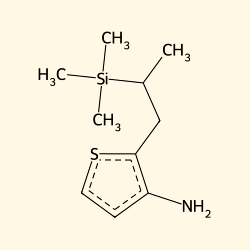 CC(Cc1sccc1N)[Si](C)(C)C